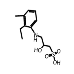 CCc1c(C)cccc1NCC(O)CS(=O)(=O)O